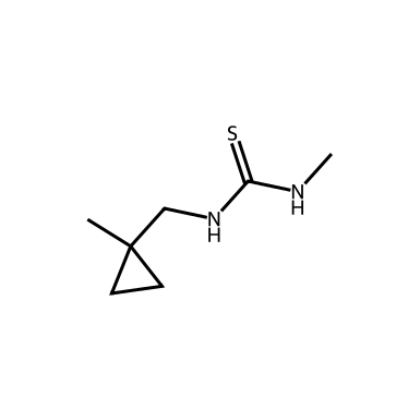 CNC(=S)NCC1(C)CC1